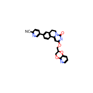 N#Cc1ccc(-c2ccc3c(c2)CCn2c-3cc(OCC3COc4ncccc4O3)nc2=O)cn1